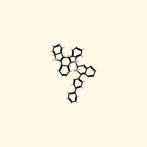 C1=c2ccccc2=C(c2ccc(-c3ccccc3)cc2)NC1n1c2ccccc2c2c3c4ccccc4oc3c3ccccc3c21